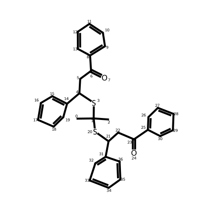 CC(C)(SC(CC(=O)c1ccccc1)c1ccccc1)SC(CC(=O)c1ccccc1)c1ccccc1